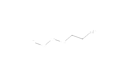 CCCCC[Se]O[Se]F